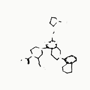 CN1CCC[C@H]1COc1nc2c(c(N3CCN(C(=O)OC(C)(C)C)C(CC#N)C3)n1)CCN(c1cccc3c1CCCC3)C2